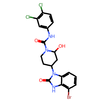 O=C(Nc1ccc(Cl)c(Cl)c1)N1CCC(n2c(=O)[nH]c3c(Br)cccc32)CC1O